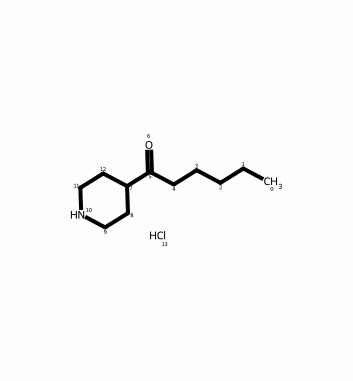 CCCCCC(=O)C1CCNCC1.Cl